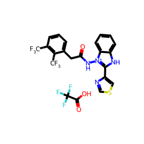 O=C(Cc1cccc(C(F)(F)F)c1C(F)(F)F)N[n+]1c(-c2cscn2)[nH]c2ccccc21.O=C(O)C(F)(F)F